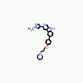 Cn1cc(-c2cc3c(cn2)[nH]c2ccc(-c4ccc(OCCCN5CCCCC5)cc4)cc23)cn1